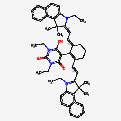 CCN1/C(=C/C=C2\CCCC(/C=C/C3=[N+](CC)c4ccc5ccccc5c4C3(C)C)=C2c2c(O)n(CC)c(=O)n(CC)c2=O)C(C)(C)c2c1ccc1ccccc21